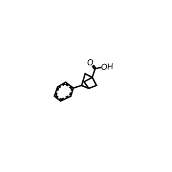 O=C(O)C12CC(C1)C(c1ccccc1)C2